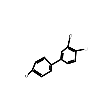 [O]c1ccc(-c2ccc(Cl)c(Cl)c2)cc1